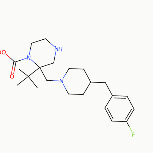 CC(C)(C)C1(CN2CCC(Cc3ccc(F)cc3)CC2)CNCCN1C(=O)O